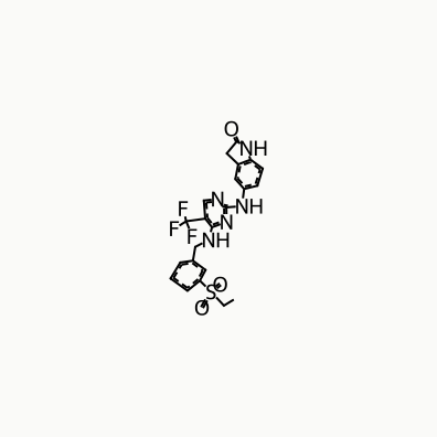 CCS(=O)(=O)c1cccc(CNc2nc(Nc3ccc4c(c3)CC(=O)N4)ncc2C(F)(F)F)c1